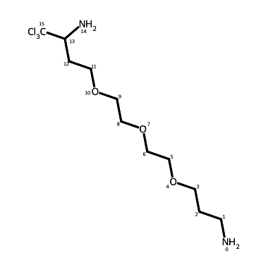 NCCCOCCOCCOCCC(N)C(Cl)(Cl)Cl